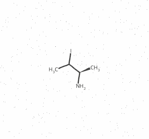 CC(I)[C@@H](C)N